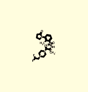 [CH2][C@H](NS(=O)(=O)c1cccc(N2CCCC2=O)c1C)C(=O)N1CCN(CC(F)F)CC1